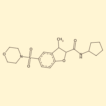 CC1c2cc(S(=O)(=O)N3CCOCC3)ccc2OC1C(=O)NC1CCCC1